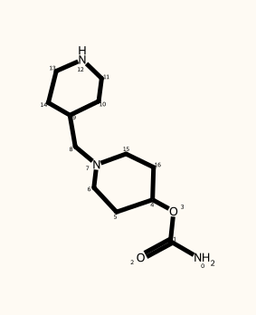 NC(=O)OC1CCN(CC2CCNCC2)CC1